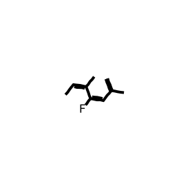 C=C(C)/C=C(F)\C(C)=C/C